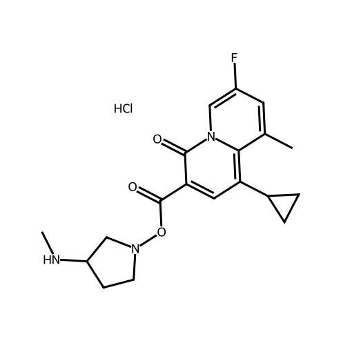 CNC1CCN(OC(=O)c2cc(C3CC3)c3c(C)cc(F)cn3c2=O)C1.Cl